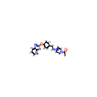 CC(=O)N1CC2CC1CN2CCc1ccc(Oc2nc3cccnc3s2)cc1